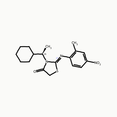 Cc1cc([N+](=O)[O-])ccc1/N=C1\SCC(=O)N1[C@H](C)C1CCCCC1